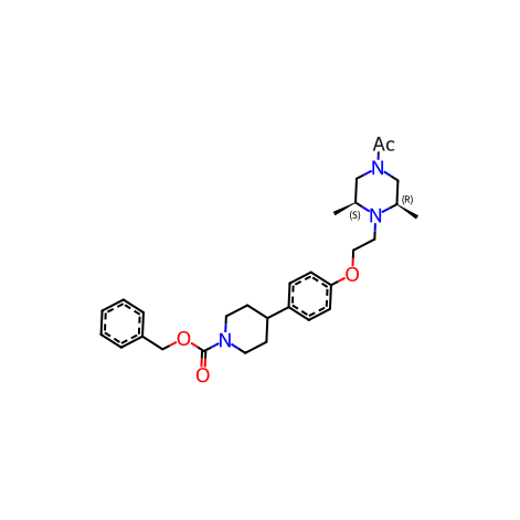 CC(=O)N1C[C@@H](C)N(CCOc2ccc(C3CCN(C(=O)OCc4ccccc4)CC3)cc2)[C@@H](C)C1